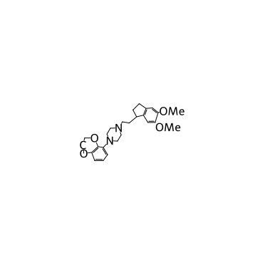 COc1cc2c(cc1OC)C(CCN1CCN(c3cccc4c3OCCO4)CC1)CC2